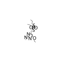 CCCSP(=O)(OCC)SCc1cc(OCC)nc(N(C)C)n1